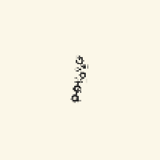 CN1CCC(NC(=O)[C@@H]2CC[C@H](NC(=O)c3ccc(-c4cccc(F)c4)nc3)C2)CC1